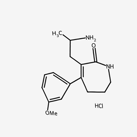 COc1cccc(C2=C(CC(C)N)C(=O)NCCC2)c1.Cl